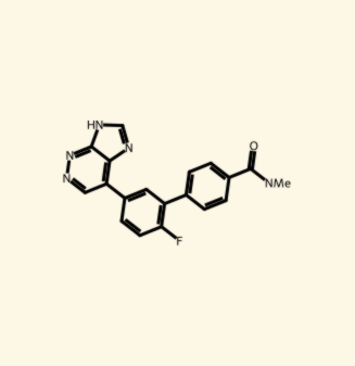 CNC(=O)c1ccc(-c2cc(-c3cnnc4[nH]cnc34)ccc2F)cc1